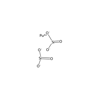 O=[Si]([O-])[O-].O=[Si]([O-])[O-].[Pu+4]